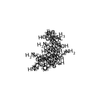 CC(C)C[C@H](NC(=O)[C@H](CCC(N)=O)NC(=O)[C@H](CC(=O)O)NC(=O)[C@H](Cc1c[nH]cn1)NC(=O)[C@H](CCCCN)NC(=O)[C@H](CS)NC(=O)[C@H](Cc1ccccc1)NC(=O)[C@@H](NC(=O)[C@H](CCCCN)NC(=O)[C@@H](N)Cc1c[nH]cn1)[C@@H](C)O)C(=O)N[C@@H](CO)C(=O)N1CCC[C@H]1C(=O)O